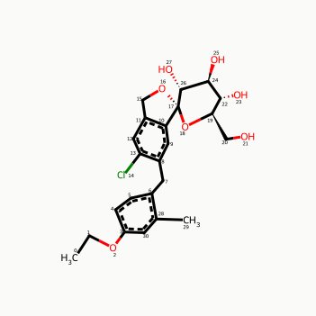 CCOc1ccc(Cc2cc3c(cc2Cl)CO[C@]32O[C@H](CO)[C@@H](O)[C@H](O)[C@H]2O)c(C)c1